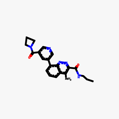 CCCNC(=O)c1nnc2c(-c3cncc(C(=O)N4CCC4)c3)cccc2c1[AsH2]